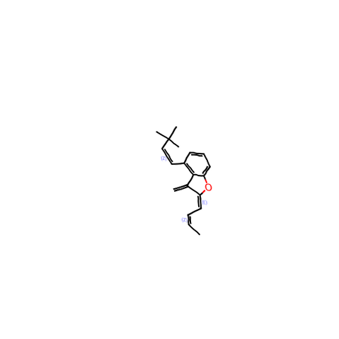 C=c1/c(=C\C=C/C)oc2cccc(/C=C\C(C)(C)C)c12